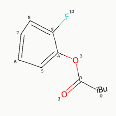 CCC(C)C(=O)Oc1ccccc1F